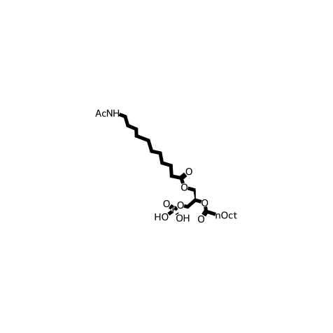 CCCCCCCCC(=O)O[C@H](COC(=O)CCCCCCCCCCNC(C)=O)COP(=O)(O)O